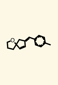 Cc1ccc(C=C2C=CC3(CCCO3)C2)cc1